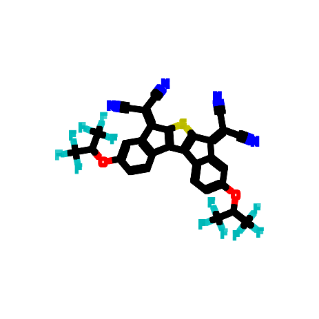 N#CC(C#N)=C1c2cc(OC(C(F)(F)F)C(F)(F)F)ccc2-c2c1sc1c2-c2ccc(OC(C(F)(F)F)C(F)(F)F)cc2C1=C(C#N)C#N